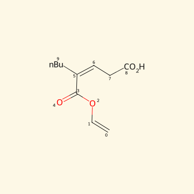 C=COC(=O)C(=CCC(=O)O)CCCC